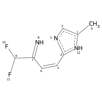 Cc1cnc(/C=C\C(=N)C(F)F)[nH]1